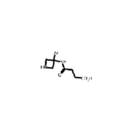 CC(=O)C1(NC(=O)CCC(=O)O)CNC1